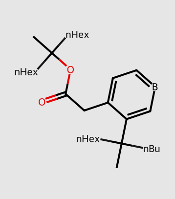 CCCCCCC(C)(CCCCCC)OC(=O)Cc1ccbcc1C(C)(CCCC)CCCCCC